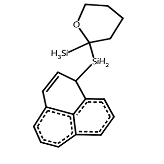 [SiH3]C1([SiH2]C2C=Cc3cccc4cccc2c34)CCCCO1